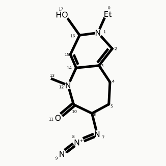 CCN1C=C2CCC(N=[N+]=[N-])C(=O)N(C)C2=CC1O